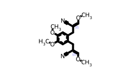 CO/C=C(\C#N)Cc1cc(OC)c(OC)cc1C/C(C#N)=C/OC